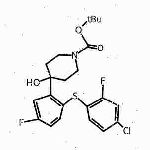 CC(C)(C)OC(=O)N1CCC(O)(c2cc(F)ccc2Sc2ccc(Cl)cc2F)CC1